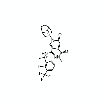 C[C@@H](Nc1nn(C)c(=O)c2cc(=O)n(N3CC4CCC(C3)O4)cc12)c1cccc(C(F)(F)F)c1F